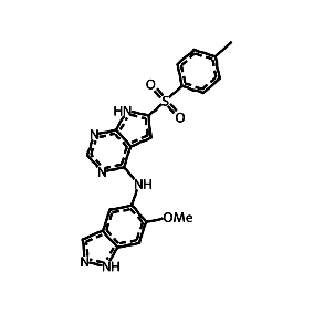 COc1cc2[nH]ncc2cc1Nc1ncnc2[nH]c(S(=O)(=O)c3ccc(C)cc3)cc12